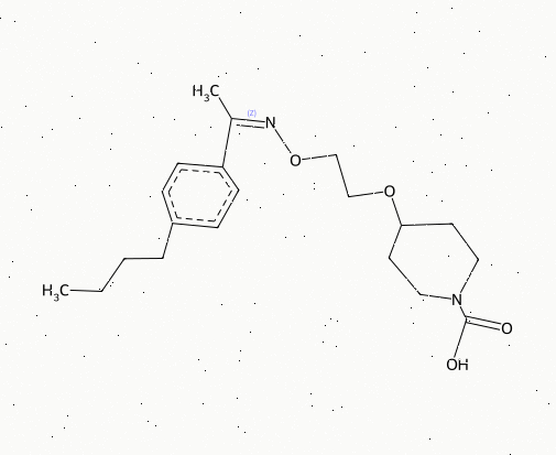 CCCCc1ccc(/C(C)=N\OCCOC2CCN(C(=O)O)CC2)cc1